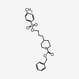 Cc1ccc(S(=O)(=O)OCCCC2CCN(C(=O)OCc3ccccc3)CC2)cc1